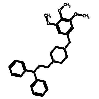 COc1cc(CN2CCN(CCC(c3ccccc3)c3ccccc3)CC2)cc(OC)c1OC